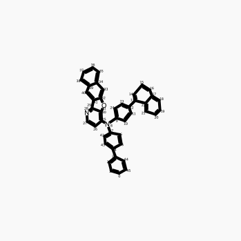 c1ccc(-c2ccc(N(c3ccc(-c4cccc5ccccc45)cc3)c3ccnc4c3oc3cc5ccccc5cc34)cc2)cc1